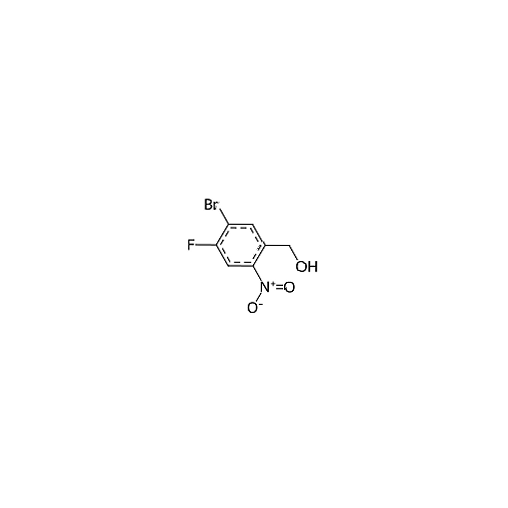 O=[N+]([O-])c1cc(F)c(Br)cc1CO